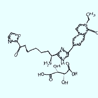 CCn1ccc2cc(-c3c[nH]c([C@@H](N)CCCCCC(=O)c4ncco4)n3)ccc2c1=O.O=C(O)[C@H](O)[C@@H](O)C(=O)O